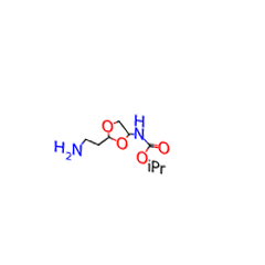 CC(C)OC(=O)NC1COC(CCN)O1